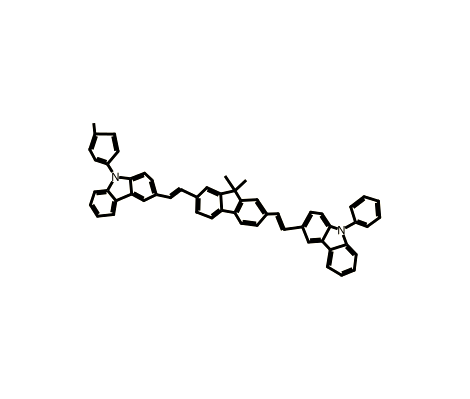 Cc1ccc(-n2c3ccccc3c3cc(/C=C/c4ccc5c(c4)C(C)(C)c4cc(/C=C/c6ccc7c(c6)c6ccccc6n7-c6ccccc6)ccc4-5)ccc32)cc1